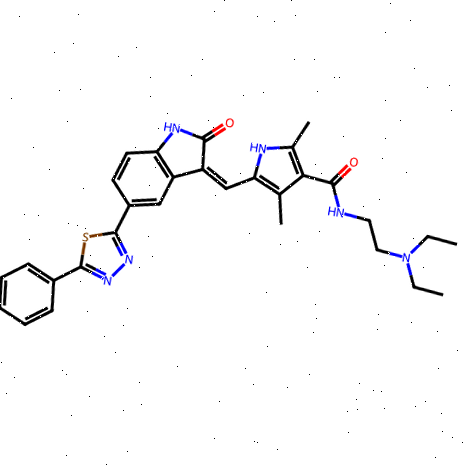 CCN(CC)CCNC(=O)c1c(C)[nH]c(/C=C2\C(=O)Nc3ccc(-c4nnc(-c5ccccc5)s4)cc32)c1C